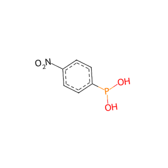 O=[N+]([O-])c1ccc(P(O)O)cc1